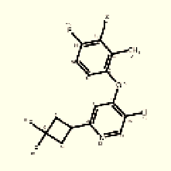 Cc1c(Oc2cc(C3CC(F)(F)C3)ncc2Cl)ccc(F)c1F